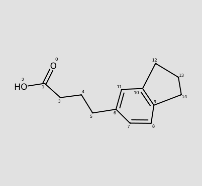 O=C(O)CCCc1ccc2c(c1)CCC2